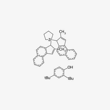 CC(C)(C)c1ccc(O)c(C(C)(C)C)c1.CC1=Cc2c(ccc3ccccc23)[CH]1[Zr]1([CH]2C(C)=Cc3c2ccc2ccccc32)[CH2]CC[CH2]1